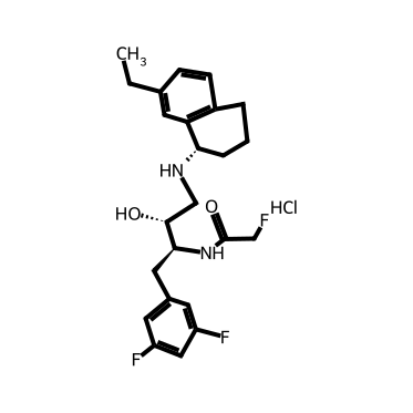 CCc1ccc2c(c1)[C@@H](NC[C@@H](O)[C@H](Cc1cc(F)cc(F)c1)NC(=O)CF)CCC2.Cl